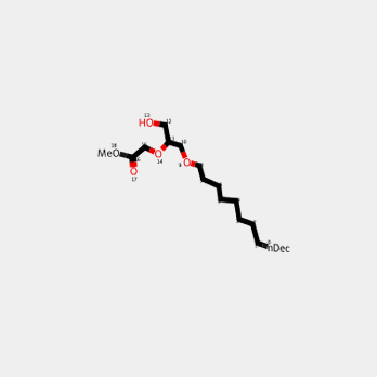 CCCCCCCCCCCCCCCCCCOCC(CO)OCC(=O)OC